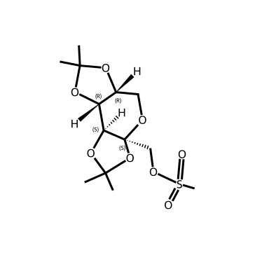 CC1(C)O[C@@H]2[C@@H](CO[C@@]3(COS(C)(=O)=O)OC(C)(C)O[C@@H]23)O1